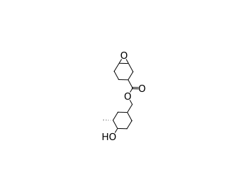 C[C@@H]1CC(COC(=O)C2CCC3OC3C2)CCC1O